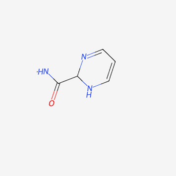 [NH]C(=O)C1N=CC=CN1